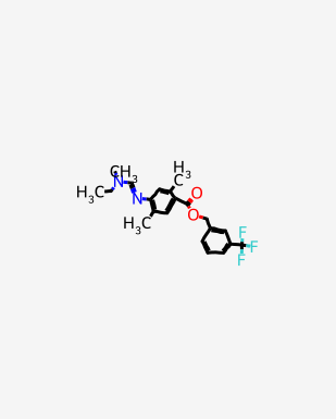 CCN(C)/C=N/c1cc(C)c(C(=O)OCc2cccc(C(F)(F)F)c2)cc1C